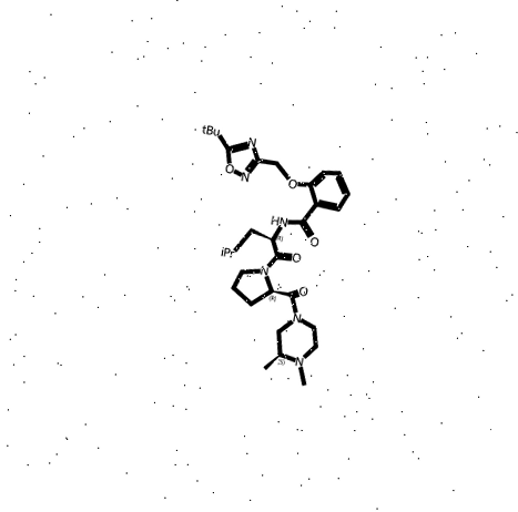 CC(C)C[C@@H](NC(=O)c1ccccc1OCc1noc(C(C)(C)C)n1)C(=O)N1CCC[C@@H]1C(=O)N1CCN(C)[C@@H](C)C1